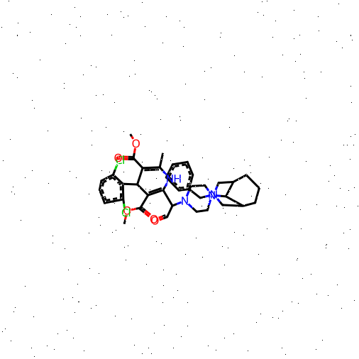 COC(=O)C1=C(C)NC(C(C=O)N2CCN(C3C4CCCC3CN(Cc3ccccc3)C4)CC2)=C(C(=O)OC)C1c1c(Cl)cccc1Cl